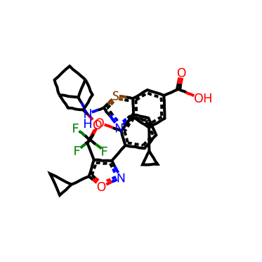 O=C(O)c1cc(C2CC2)c2nc(NC3C4CCC3CC(OCc3c(-c5ccccc5OC(F)(F)F)noc3C3CC3)C4)sc2c1